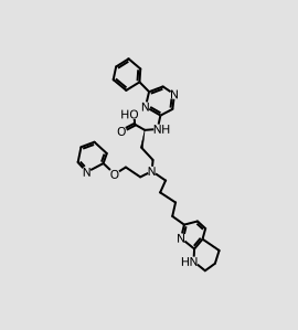 O=C(O)[C@H](CCN(CCCCc1ccc2c(n1)NCCC2)CCOc1ccccn1)Nc1cncc(-c2ccccc2)n1